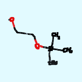 CC(C)(C)[Si](C)(C)OCC[O]